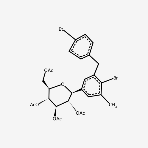 CCc1ccc(Cc2cc([C@@H]3O[C@H](COC(C)=O)[C@@H](OC(C)=O)[C@H](OC(C)=O)[C@H]3OC(C)=O)cc(C)c2Br)cc1